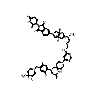 CN(CCCNc1cc(N2CCC3(CC2)CN(c2cc(F)c(CN4CCC(C)(C)CC4)cc2F)CC(=O)N3)ncn1)[C@@H]1C[C@@H]2CN(c3ccc4c(c3)C(=O)N(C3CCC(=O)NC3=O)C4=O)C[C@@H]2C1